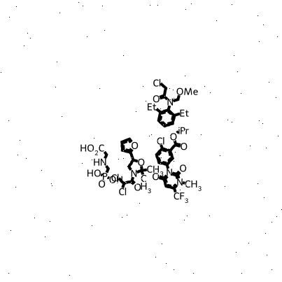 CC(C)OC(=O)c1cc(-n2c(=O)cc(C(F)(F)F)n(C)c2=O)ccc1Cl.CC1(C)OC(c2ccco2)CN1C(=O)C(Cl)Cl.CCc1cccc(CC)c1N(COC)C(=O)CCl.O=C(O)CNCP(=O)(O)O